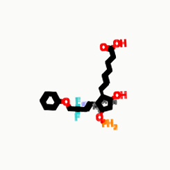 O=C(O)CCCC=CC[C@@H]1[C@@H](/C=C/C(F)(F)COc2ccccc2)[C@H](OP)C[C@@H]1O